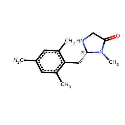 Cc1cc(C)c(C[C@@H]2NCC(=O)N2C)c(C)c1